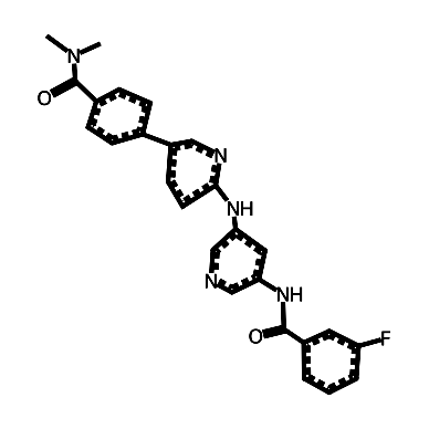 CN(C)C(=O)c1ccc(-c2ccc(Nc3cncc(NC(=O)c4cccc(F)c4)c3)nc2)cc1